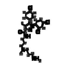 Cc1c(C(=O)NCCCN(C)CCCN)nn(-c2ccc(Cl)cc2Cl)c1-c1ccc(Cl)cc1